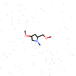 COCC1CC(OC)CN1C